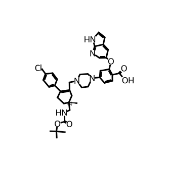 CC(C)(C)OC(=O)NC[C@]1(C)CCC(c2ccc(Cl)cc2)=C(CN2CCN(c3ccc(C(=O)O)c(Oc4cnc5[nH]ccc5c4)c3)CC2)C1